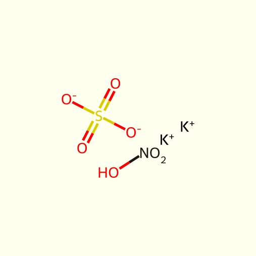 O=S(=O)([O-])[O-].O=[N+]([O-])O.[K+].[K+]